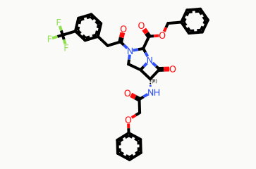 O=C(COc1ccccc1)N[C@H]1C(=O)N2C1CN(C(=O)Cc1cccc(C(F)(F)F)c1)C2C(=O)OCc1ccccc1